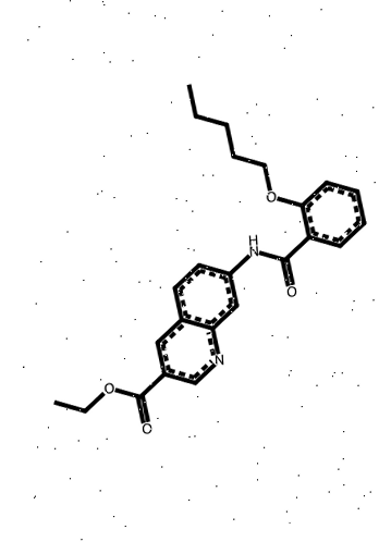 CCCCCOc1ccccc1C(=O)Nc1ccc2cc(C(=O)OCC)cnc2c1